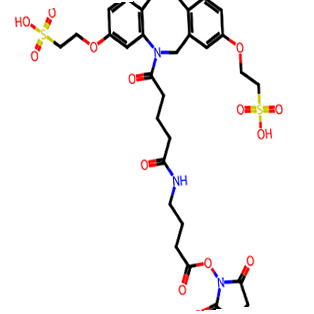 O=C(CCCC(=O)N1Cc2cc(OCCS(=O)(=O)O)ccc2C#Cc2ccc(OCCS(=O)(=O)O)cc21)NCCCC(=O)ON1C(=O)CCC1=O